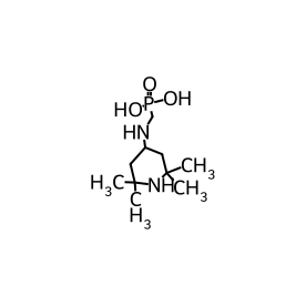 CC1(C)CC(NCP(=O)(O)O)CC(C)(C)N1